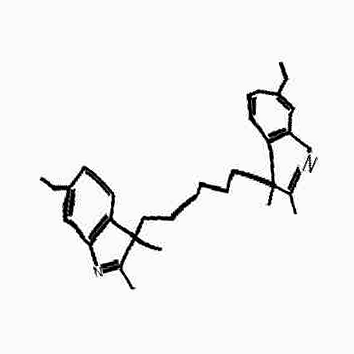 CC1=Nc2cc(C)ccc2C1(C)CCCCCC1(C)C(C)=Nc2cc(C)ccc21